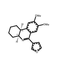 COc1cc2c(cc1OC)[C@@H]1CCCC[C@@H]1N=C2c1ccoc1